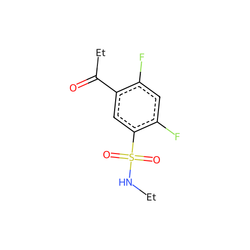 CCNS(=O)(=O)c1cc(C(=O)CC)c(F)cc1F